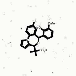 COc1cccc(C2OC(C(C)(C)C(=O)O)c3cccn3-c3ccc(Cl)cc32)c1OC